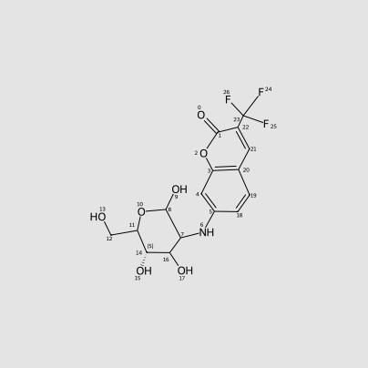 O=c1oc2cc(NC3C(O)OC(CO)[C@@H](O)C3O)ccc2cc1C(F)(F)F